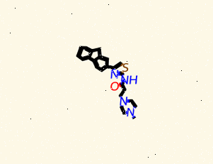 CN1CCN(CCC(=O)Nc2nc(-c3ccc4c(c3)Cc3ccccc3-4)cs2)CC1